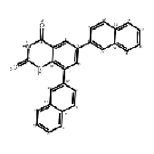 O=c1[nH]c(=O)c2cc(-c3ccc4ccccc4c3)cc(-c3ccc4ccccc4c3)c2[nH]1